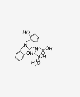 O.O=C(O)CN(CCN(Cc1ccccc1O)Cc1ccccc1O)CC(=O)O